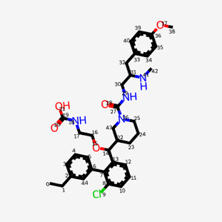 CCc1cccc(-c2c(Cl)cccc2C(OCCNC(=O)O)C2CCCN(C(=O)NCC(Cc3ccc(OC)cc3)NC)C2)c1